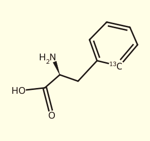 N[C@@H](Cc1cccc[13cH]1)C(=O)O